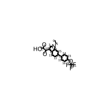 CCn1cc(C(=O)C(=O)O)c2ccc(-c3ccc(OC(F)(F)F)cc3)cc21